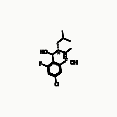 CN[C@@H](CC(C)C)C(O)c1c(F)cc(Cl)cc1F.Cl